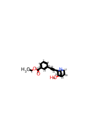 CCOC(=O)c1cccc(C#CC2C(O)C3CCN2CC3)c1